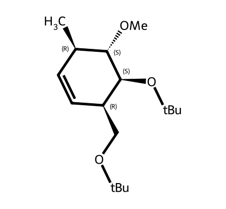 CO[C@@H]1[C@@H](OC(C)(C)C)[C@@H](COC(C)(C)C)C=C[C@H]1C